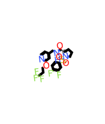 O=C(NCc1ccnc(OCCC(F)(F)F)c1)[C@@H]1CCCN1S(=O)(=O)c1ccc(F)c(F)c1